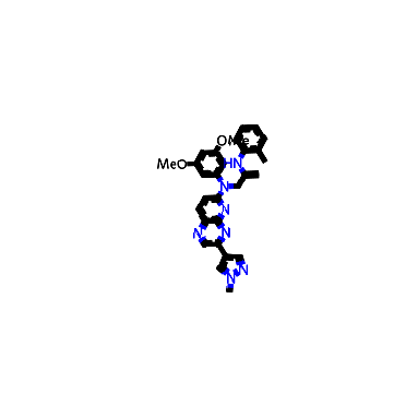 C=C(CN(c1cc(OC)cc(OC)c1)c1ccc2ncc(-c3cnn(C)c3)nc2n1)Nc1ccccc1C